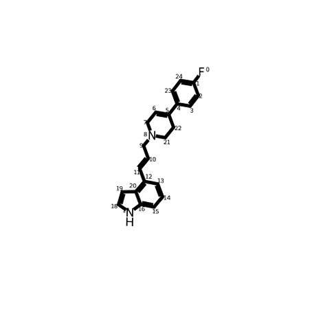 Fc1ccc(C2=CCN(CC=Cc3cccc4[nH]ccc34)CC2)cc1